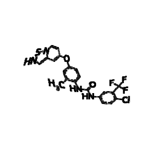 Cc1cc(OC2=CC3=CNSN3C=C2)ccc1NC(=O)Nc1ccc(Cl)c(C(F)(F)F)c1